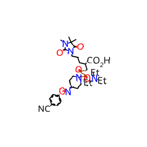 CCN(CC)CC.CN1C(=O)N(CCCC(CS(=O)(=O)N2CCC(=NOc3ccc(C#N)cc3)CC2)C(=O)O)C(=O)C1(C)C